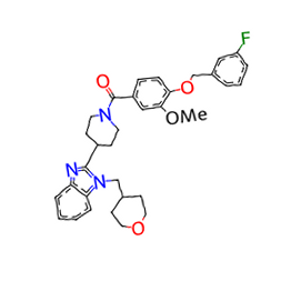 COc1cc(C(=O)N2CCC(c3nc4ccccc4n3CC3CCOCC3)CC2)ccc1OCc1cccc(F)c1